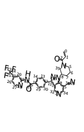 C=CC(=O)N1CCC[C@@H](n2nc(-c3ccc(C(=O)Nc4cc(C(F)(F)F)ccn4)cc3)c3cncc(C#N)c32)C1